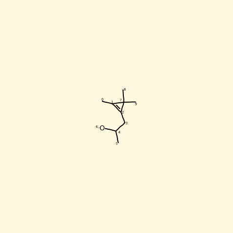 CC1=C(CC(C)[O])C1(C)C